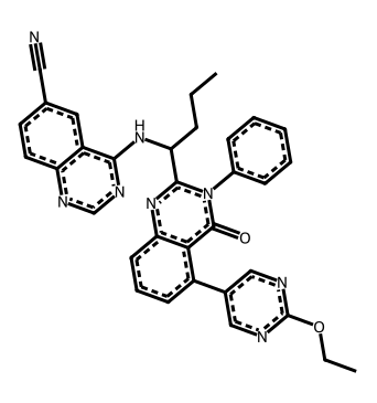 CCCC(Nc1ncnc2ccc(C#N)cc12)c1nc2cccc(-c3cnc(OCC)nc3)c2c(=O)n1-c1ccccc1